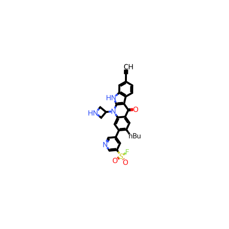 C#Cc1ccc2c(c1)[nH]c1c2c(=O)c2cc(CCCC)c(-c3cncc(S(=O)(=O)F)c3)cc2n1C1CNC1